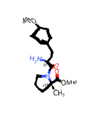 COC(=O)[C@]1(C)CCCN1C(=O)[C@@H](N)Cc1ccc(OC)cc1